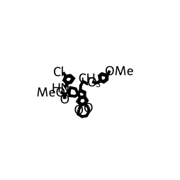 COC(=O)C1(Nc2cccc(Cl)c2)CCC2(CC1)C(C[C@@H](C)COCc1ccc(OC)cc1)=Cc1cc3c(cc12)OCCCCO3